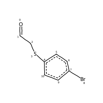 O=CCSc1ccc(Br)cc1